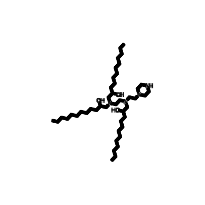 CCCCCCCCCCC(O)CN(CCN1CCNCC1)CCN(CC(O)CCCCCCCCCC)CC(O)CCCCCCCCCC